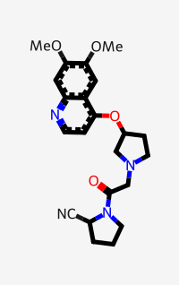 COc1cc2nccc(OC3CCN(CC(=O)N4CCCC4C#N)C3)c2cc1OC